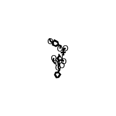 COc1ccc(COC(=O)C(C)(C)CN2CC3OCCN(C(=O)OCc4ccccc4)C3C2=O)cc1